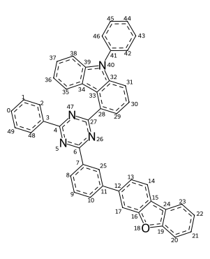 c1ccc(-c2nc(-c3cccc(-c4ccc5c(c4)oc4ccccc45)c3)nc(-c3cccc4c3c3ccccc3n4-c3ccccc3)n2)cc1